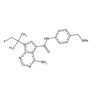 CSCc1ccc(NC(=O)c2cn(C(C)(C)CF)c3ncnc(N)c23)cc1